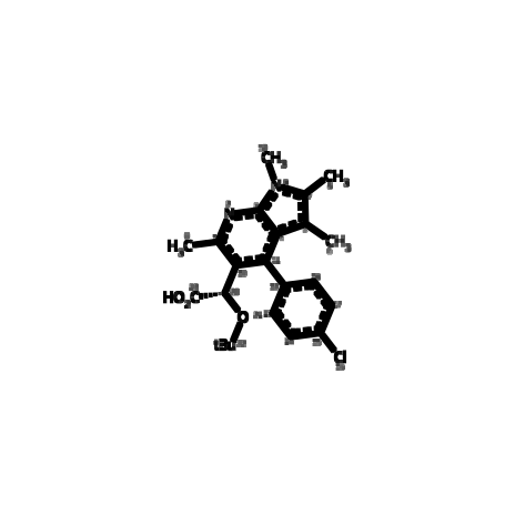 Cc1nc2c(c(C)c(C)n2C)c(-c2ccc(Cl)cc2)c1[C@H](OC(C)(C)C)C(=O)O